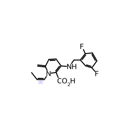 C=C1C=CC(NCc2cc(F)ccc2F)=C(C(=O)O)N1/C=C\C